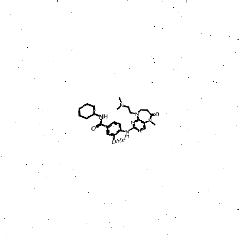 COc1cc(C(=O)NC2CCCCC2)ccc1Nc1ncc2c(n1)N(CCN(C)C)CCC(=O)N2C